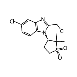 CC1(C)[C@H](n2c(CCl)nc3cc(Cl)ccc32)CCS1(=O)=O